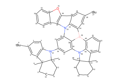 CC(C)(C)c1ccc2c(c1)C1(C)CCCCC1(C)N2c1cc2c3c(c1)-n1c4c(cc(C(C)(C)C)cc4c4oc5ccccc5c41)B3c1cccc3c1N2C1(C)CCCCC31C